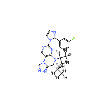 [2H]C([2H])([2H])C([2H])([2H])[C@@H]1c2nncn2-c2cnc(-n3ccnc3-c3cccc(F)c3)nc2N1C([2H])(C([2H])([2H])[2H])C([2H])([2H])[2H]